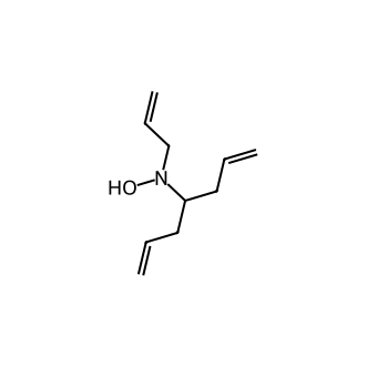 C=CCC(CC=C)N(O)CC=C